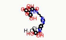 CC(C)c1cc(C(=O)N2Cc3ccc(CN4CCN(CCCCCNC(=O)c5ccc(C(=O)O)c(-c6c7ccc(=O)cc-7oc7cc(O)ccc67)c5)CC4)cc3C2)c(O)cc1O